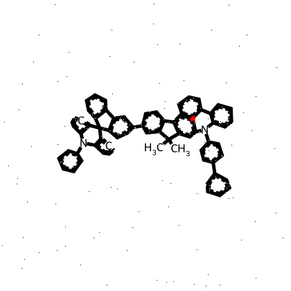 CC1(C)c2cc(-c3ccc4c(c3)-c3ccccc3C43c4ccccc4N(c4ccccc4)c4ccccc43)ccc2-c2ccc(N(c3ccc(-c4ccccc4)cc3)c3ccccc3-c3ccccc3)cc21